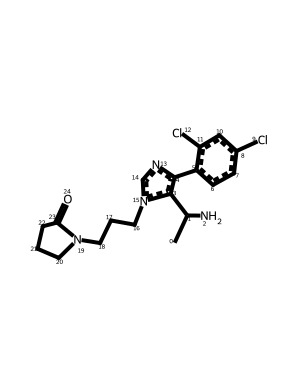 CC(N)c1c(-c2ccc(Cl)cc2Cl)ncn1CCCN1CCCC1=O